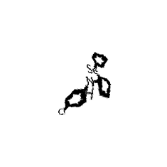 Clc1ccc(Nc2ccccc2[Se]c2ccccc2)cc1